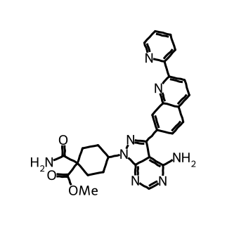 COC(=O)C1(C(N)=O)CCC(n2nc(-c3ccc4ccc(-c5ccccn5)nc4c3)c3c(N)ncnc32)CC1